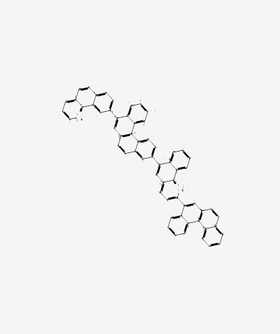 c1ccc2c(c1)ccc1cc(-c3ccc4cc(-c5ccc6c(ccc7cc(-c8ccc9ccc%10cccnc%10c9c8)c8ccccc8c76)c5)c5ccccc5c4n3)c3ccccc3c12